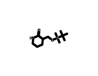 CC(C)(C)[Si](C)(C)OCC1CCCNC1=O